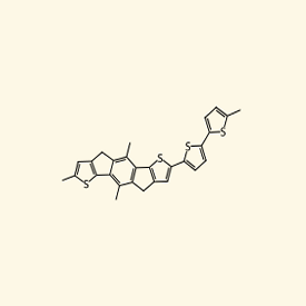 Cc1ccc(-c2ccc(-c3cc4c(s3)-c3c(C)c5c(c(C)c3C4)-c3sc(C)cc3C5)s2)s1